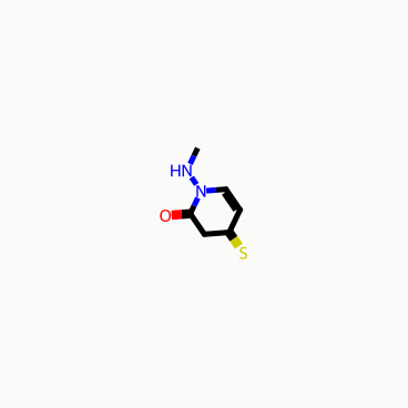 CNN1C=CC(=S)CC1=O